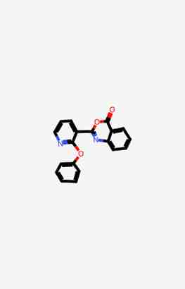 O=c1oc(-c2cccnc2Oc2ccccc2)nc2ccccc12